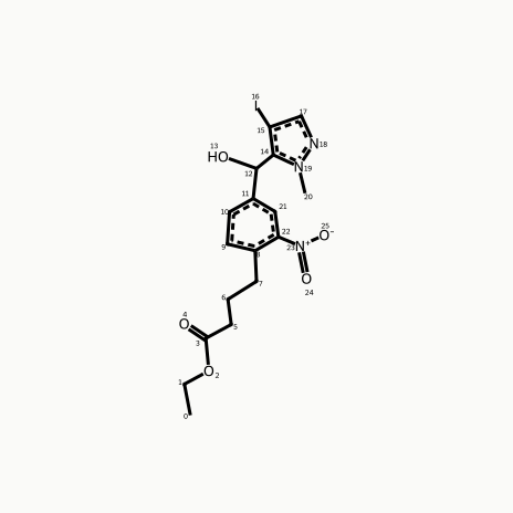 CCOC(=O)CCCc1ccc(C(O)c2c(I)cnn2C)cc1[N+](=O)[O-]